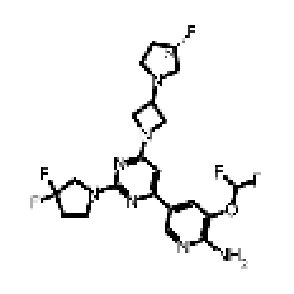 Nc1ncc(-c2cc(N3CC(N4CC[C@H](F)C4)C3)nc(N3CCC(F)(F)C3)n2)cc1OC(F)F